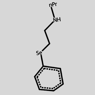 CCCNCC[Se]c1ccccc1